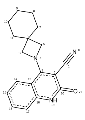 N#Cc1c(N2CC3(CCCCC3)C2)c2ccccc2[nH]c1=O